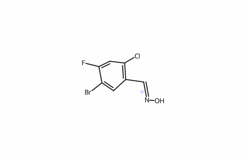 O/N=C/c1cc(Br)c(F)cc1Cl